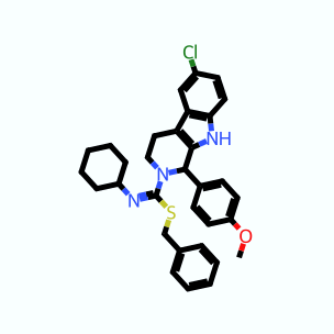 COc1ccc(C2c3[nH]c4ccc(Cl)cc4c3CCN2/C(=N\C2CCCCC2)SCc2ccccc2)cc1